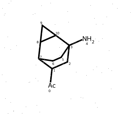 CC(=O)C1CC2(N)CCC1C1CC12